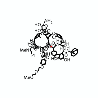 CN[C@H](CC(C)C)C(=O)N[C@H]1C(=O)N[C@@H](CC(=O)NS(=O)(=O)c2ccc(OCCOCCOC)cc2)C(=O)N[C@H]2C(=O)N[C@H]3C(=O)N[C@H](C(=O)N[C@H](C(=O)NC4C5CC6CC(C5)CC4C6)c4cc(O)cc(O)c4-c4cc3ccc4O)[C@H](O)c3ccc(c(Cl)c3)Oc3cc2cc(c3O[C@@H]2O[C@H](CN)[C@@H](O)[C@H](O)[C@H]2O)Oc2ccc(cc2C)[C@H]1O